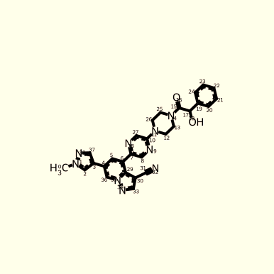 Cn1cc(-c2cc(-c3cnc(N4CCN(C(=O)C(O)c5ccccc5)CC4)cn3)c3c(C#N)cnn3c2)cn1